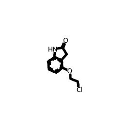 O=C1Cc2c(cccc2OCCCl)N1